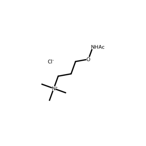 CC(=O)NOCCC[N+](C)(C)C.[Cl-]